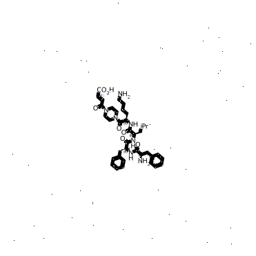 CC(C)C[C@@H](NC(=O)[C@@H](Cc1ccccc1)NC(=O)[C@H](N)Cc1ccccc1)C(=O)N[C@H](CCCCN)C(=O)N1CCN(C(=O)/C=C/C(=O)O)CC1